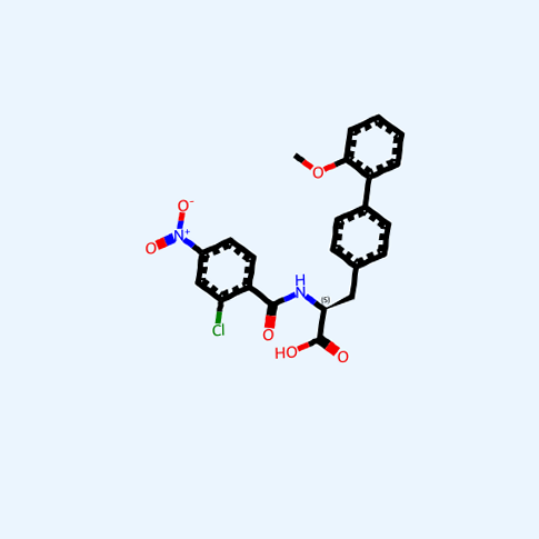 COc1ccccc1-c1ccc(C[C@H](NC(=O)c2ccc([N+](=O)[O-])cc2Cl)C(=O)O)cc1